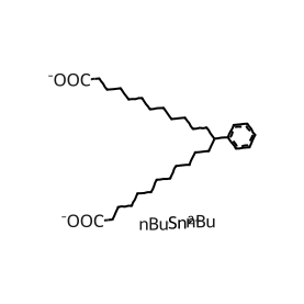 CCC[CH2][Sn+2][CH2]CCC.O=C([O-])CCCCCCCCCCCC(CCCCCCCCCCCC(=O)[O-])c1ccccc1